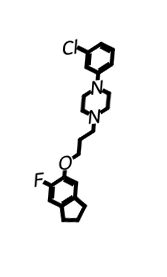 Fc1cc2c(cc1OCCCN1CCN(c3cccc(Cl)c3)CC1)CCC2